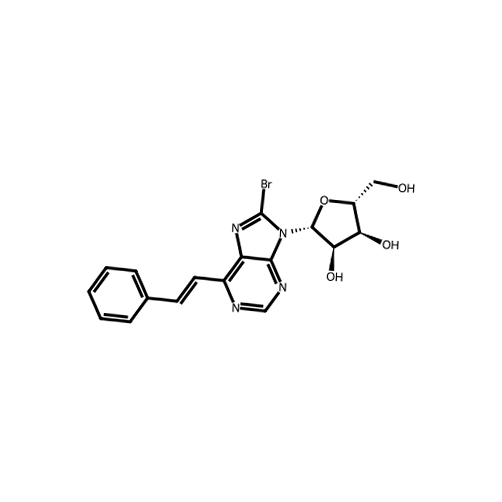 OC[C@H]1O[C@@H](n2c(Br)nc3c(/C=C/c4ccccc4)ncnc32)[C@H](O)[C@@H]1O